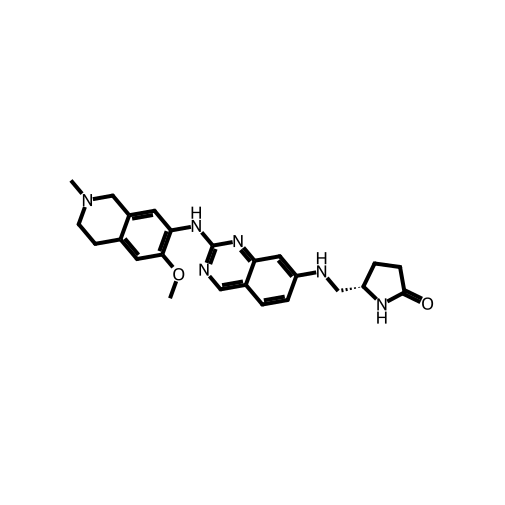 COc1cc2c(cc1Nc1ncc3ccc(NC[C@@H]4CCC(=O)N4)cc3n1)CN(C)CC2